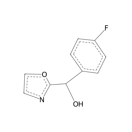 OC(c1ccc(F)cc1)c1ncco1